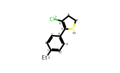 CCc1ccc(C2=C(Cl)CCS2)cc1